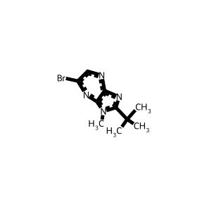 Cn1c(C(C)(C)C)nc2ncc(Br)nc21